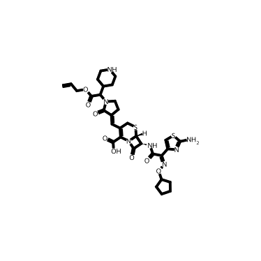 C=CCOC(=O)C(C1CCNCC1)N1CC/C(=C\C2=C(C(=O)O)N3C(=O)[C@@H](NC(=O)/C(=N\OC4CCCC4)c4csc(N)n4)[C@H]3SC2)C1=O